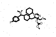 COC(=O)OC1(CSC)N=CN(C2CCCCC2)C1CC1CCC(C(c2ccc(F)cc2)N(C)C)CC1